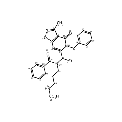 CCC(c1nc2onc(C)c2c(=O)n1Cc1ccccc1)N(CCCNC(=O)O)C(=O)c1ccccc1